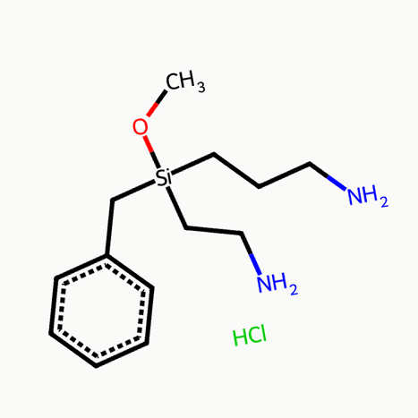 CO[Si](CCN)(CCCN)Cc1ccccc1.Cl